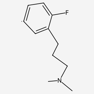 CN(C)CCCc1c[c]ccc1F